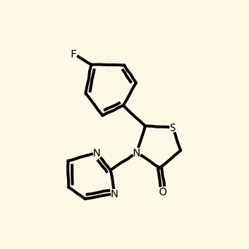 O=C1CSC(c2ccc(F)cc2)N1c1ncccn1